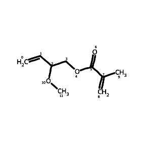 C=CC(COC(=O)C(=C)C)OC